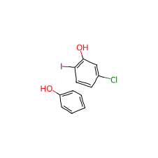 Oc1cc(Cl)ccc1I.Oc1ccccc1